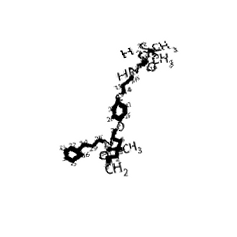 C=CCC1(C)CC(COc2ccc(CCCCNC(=O)OC(C)(C)C)cc2)N(CCCc2ccccc2)C1=O